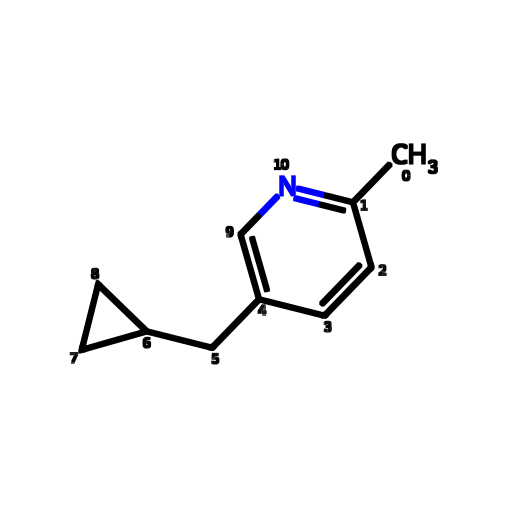 Cc1ccc(CC2CC2)cn1